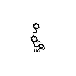 CCC1(C(=O)O)CCc2ccc(OCc3ccccc3)cc2O1